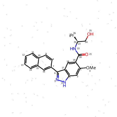 COc1cc2[nH]nc(-c3ccc4ccccc4c3)c2cc1C(=O)N[C@H](CO)C(C)C